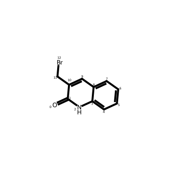 O=c1[nH]c2ccccc2cc1CBr